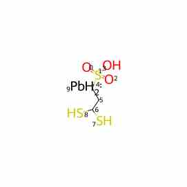 O=S(=O)(O)CCC(S)S.[PbH2]